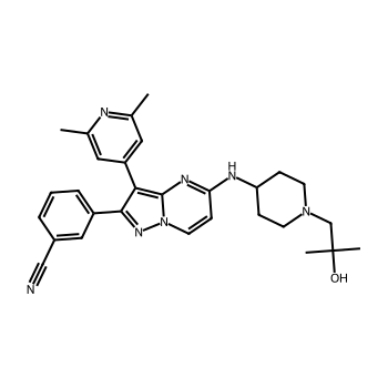 Cc1cc(-c2c(-c3cccc(C#N)c3)nn3ccc(NC4CCN(CC(C)(C)O)CC4)nc23)cc(C)n1